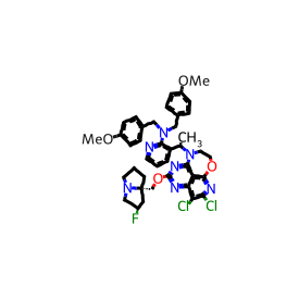 COc1ccc(CN(Cc2ccc(OC)cc2)c2ncccc2[C@@H](C)N2CCOc3nc(Cl)c(Cl)c4nc(OC[C@@]56CCCN5C[C@H](F)C6)nc2c34)cc1